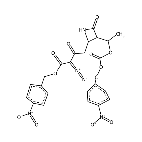 CC(OC(=O)OCc1ccc([N+](=O)[O-])cc1)C1C(=O)NC1CC(=O)C(=[N+]=[N-])C(=O)OCc1ccc([N+](=O)[O-])cc1